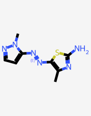 Cc1nc(N)sc1/N=N/c1ccnn1C